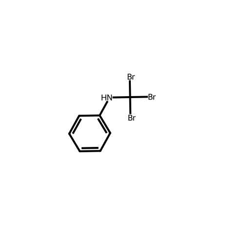 BrC(Br)(Br)Nc1ccccc1